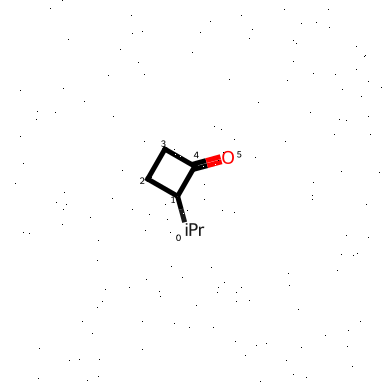 CC(C)C1CCC1=O